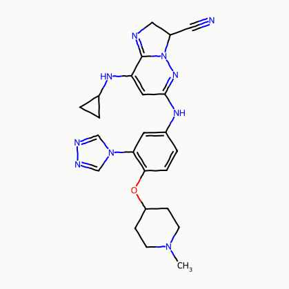 CN1CCC(Oc2ccc(NC3=NN4C(=NCC4C#N)C(NC4CC4)=C3)cc2-n2cnnc2)CC1